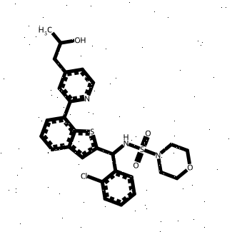 CC(O)Cc1ccnc(-c2cccc3cc(C(NS(=O)(=O)N4CCOCC4)c4ccccc4Cl)sc23)c1